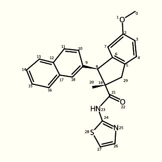 COc1ccc2c(c1)[C@H](c1ccc3ccccc3c1)[C@@](C)(C(=O)Nc1nccs1)C2